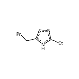 CCc1ncc(CC(C)C)[nH]1